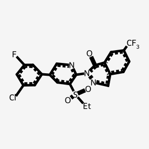 CCS(=O)(=O)c1cc(-c2cc(F)cc(Cl)c2)cnc1-n1ncc2ccc(C(F)(F)F)cc2c1=O